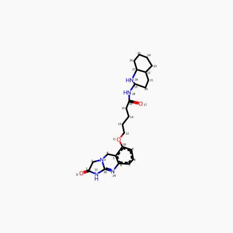 O=C1CN2Cc3c(cccc3OCCCCC(=O)NC3CCC4CCCCC4N3)N=C2N1